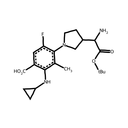 Cc1c(NC2CC2)c(C(=O)O)cc(F)c1N1CCC(C(N)C(=O)OC(C)(C)C)C1